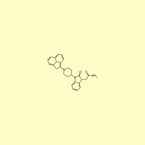 NC(=O)CC1C(=O)N(C2CCN(C3=C4C=CC=C5C=CC=C(C3)C54)CC2)c2ccccc21